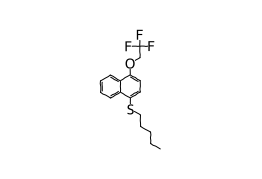 CCCCCSc1ccc(OCC(F)(F)F)c2ccccc12